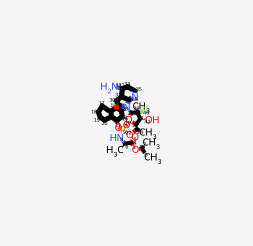 CC(C)OC(=O)[C@H](C)NP(=O)(Oc1cccc2ccccc12)OC(C)[C@H]1O[C@@H](n2ccc3c(N)ccnc32)[C@](C)(F)[C@@H]1O